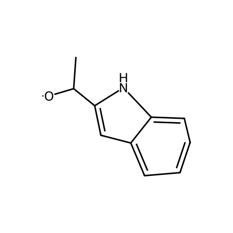 CC([O])c1cc2ccccc2[nH]1